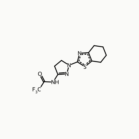 O=C(NC1=NN(c2nc3c(s2)CCCC3)CC1)C(F)(F)F